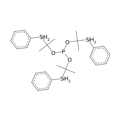 CC(C)(OP(OC(C)(C)[SiH2]c1ccccc1)OC(C)(C)[SiH2]c1ccccc1)[SiH2]c1ccccc1